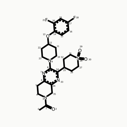 CC(=O)N1CCc2nc(N3CCC(Oc4ccc(F)cc4F)CC3)c(C3CCS(=O)(=O)CC3)nc2C1